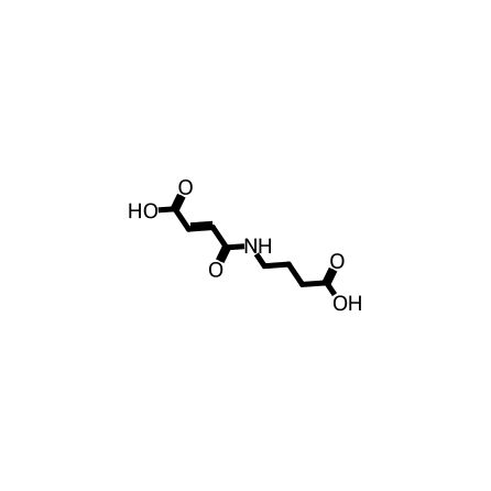 O=C(O)C=CC(=O)NCCCC(=O)O